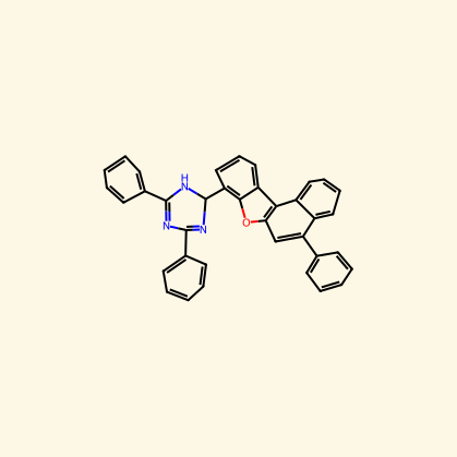 c1ccc(C2=NC(c3cccc4c3oc3cc(-c5ccccc5)c5ccccc5c34)NC(c3ccccc3)=N2)cc1